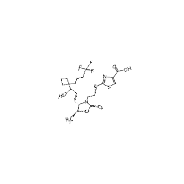 C[C@@H]1OC(=O)N(CCSc2nc(C(=O)O)cs2)[C@H]1/C=C/C(O)C1(CCCC(F)(F)F)CCC1